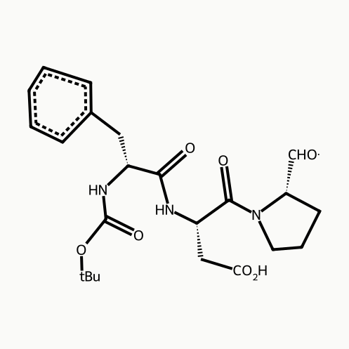 CC(C)(C)OC(=O)N[C@H](Cc1ccccc1)C(=O)N[C@@H](CC(=O)O)C(=O)N1CCC[C@H]1[C]=O